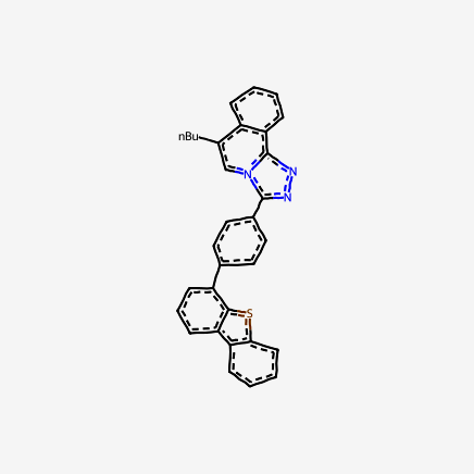 CCCCc1cn2c(-c3ccc(-c4cccc5c4sc4ccccc45)cc3)nnc2c2ccccc12